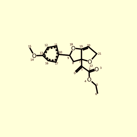 C=C(C(=O)OCC)C12CC(c3ccc(OC)cc3)OC1=CCO2